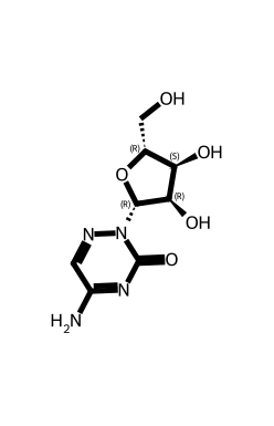 Nc1cnn([C@@H]2O[C@H](CO)[C@@H](O)[C@H]2O)c(=O)n1